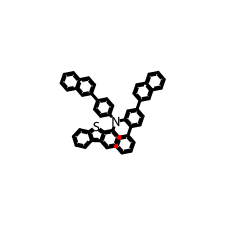 c1ccc(-c2ccc(-c3ccc4ccccc4c3)cc2N(c2ccc(-c3ccc4ccccc4c3)cc2)c2cccc3c2sc2ccccc23)cc1